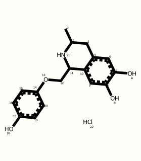 CC1Cc2cc(O)c(O)cc2C(COc2ccc(O)cc2)N1.Cl